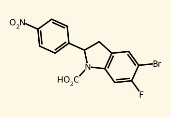 O=C(O)N1c2cc(F)c(Br)cc2CC1c1ccc([N+](=O)[O-])cc1